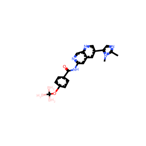 BC(B)(B)Oc1ccc(C(=O)Nc2cc3cc(-c4cnc(C)n4C)cnc3cn2)cc1